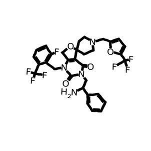 NC(Cn1c(=O)c2c(n(Cc3c(F)cccc3C(F)(F)F)c1=O)COC21CCN(Cc2ccc(C(F)(F)F)o2)CC1)c1ccccc1